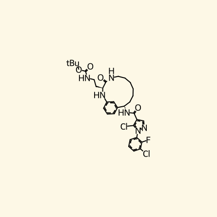 CC(C)(C)OC(=O)NCC[C@@H]1Nc2cccc(c2)[C@@H](NC(=O)c2cnn(-c3cccc(Cl)c3F)c2Cl)CCCCCCNC1=O